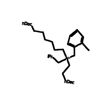 CCCCCCCCCCCCCCCC[N+](CCCCCCCCCCCC)(Cc1ccccc1C)CC(C)C